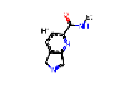 CCNC(=O)c1ccc2c(n1)C=NC2.[H+]